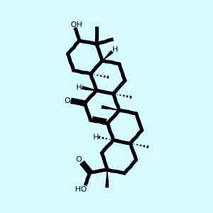 CC1(C)C(O)CC[C@]2(C)[C@H]3C(=O)C=C4[C@@H]5C[C@@](C)(C(=O)O)CC[C@]5(C)CC[C@@]4(C)[C@]3(C)CC[C@@H]12